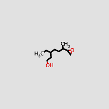 CCC(CCO)CCC(C)C1CO1